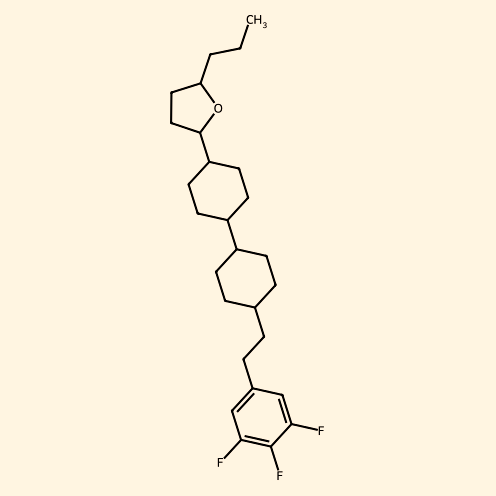 CCCC1CCC(C2CCC(C3CCC(CCc4cc(F)c(F)c(F)c4)CC3)CC2)O1